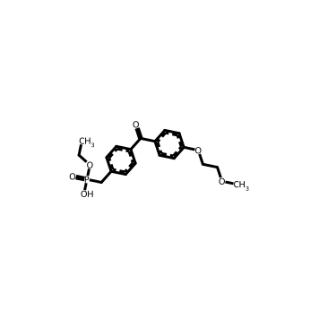 CCOP(=O)(O)Cc1ccc(C(=O)c2ccc(OCCOC)cc2)cc1